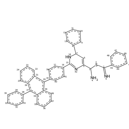 N=C(SC(N)C1=CC(c2ccccc2)NC(c2ccc(-c3c4ccccc4c(-c4ccccc4)c4ccccc34)cc2)=N1)c1ccccc1